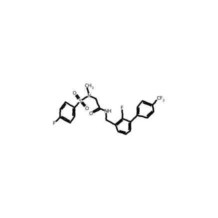 CN(CC(=O)NCc1cccc(-c2ccc(C(F)(F)F)cc2)c1F)S(=O)(=O)c1ccc(F)cc1